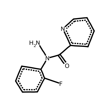 NN(C(=O)c1ccccn1)c1ccccc1F